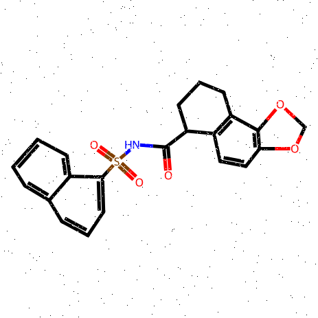 O=C(NS(=O)(=O)c1cccc2ccccc12)C1CCCc2c1ccc1c2OCO1